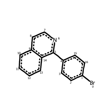 Brc1ccc(-c2nccc3ccccc23)cc1